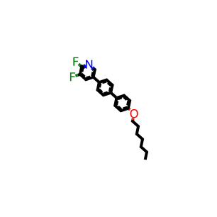 CCCCCCCOc1ccc(-c2ccc(-c3cnc(F)c(F)c3)cc2)cc1